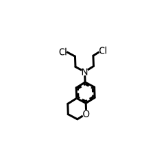 ClCCN(CCCl)c1ccc2c(c1)CCCO2